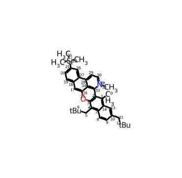 Cc1c2c(c(CC(C)(C)C)c3ccc(CC(C)(C)C)cc13)Oc1cc3ccc([Si](C)(C)C)cc3c3cc[n+](C)c-2c13